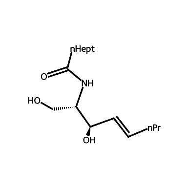 CCCC=C[C@@H](O)[C@H](CO)NC(=O)CCCCCCC